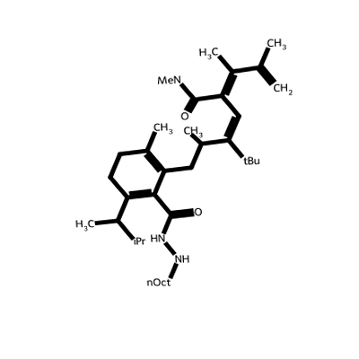 C=C(C)/C(C)=C(\C=C(/C(C)CC1=C(C)CCC(C(C)C(C)C)=C1C(=O)NNCCCCCCCC)C(C)(C)C)C(=O)NC